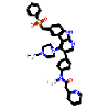 CN1CCN(c2c(-c3ccc(N(C)C(=O)Cc4ccccn4)cc3)cnc3[nH]c4ccc(CS(=O)(=O)c5ccccc5)cc4c23)CC1